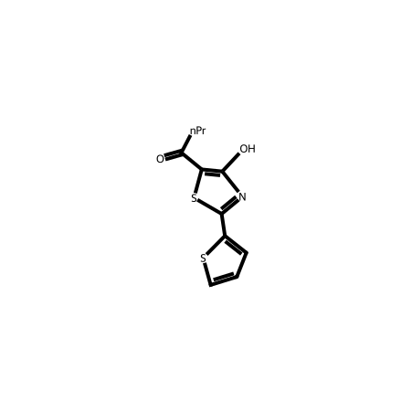 CCCC(=O)c1sc(-c2cccs2)nc1O